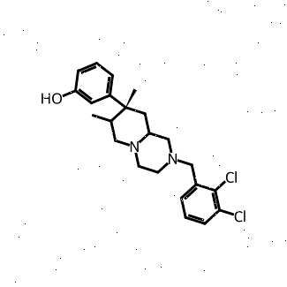 CC1CN2CCN(Cc3cccc(Cl)c3Cl)CC2C[C@@]1(C)c1cccc(O)c1